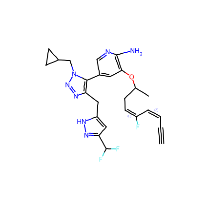 C#C/C=C\C(F)=C/CC(C)Oc1cc(-c2c(Cc3cc(C(F)F)n[nH]3)nnn2CC2CC2)cnc1N